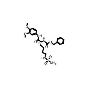 COc1ccc(NC(=O)[C@H](CCCCNS(N)(=O)=O)NC(=O)OCc2ccccc2)cc1OC